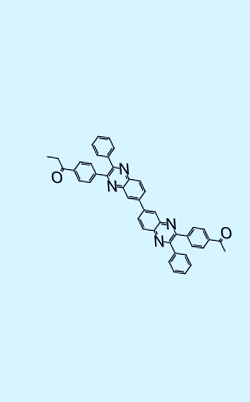 CCC(=O)c1ccc(-c2nc3cc(-c4ccc5nc(-c6ccccc6)c(-c6ccc(C(C)=O)cc6)nc5c4)ccc3nc2-c2ccccc2)cc1